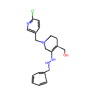 OCC1=C(NNCc2ccccc2)CN(Cc2ccc(Cl)nc2)CC1